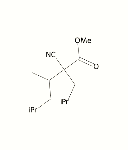 COC(=O)C(C#N)(CC(C)C)C(C)CC(C)C